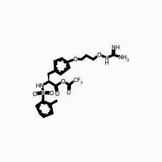 Cc1ccccc1S(=O)(=O)N[C@@H](Cc1ccc(OCCCONC(=N)N)cc1)C(=O)OC(=O)C(F)(F)F